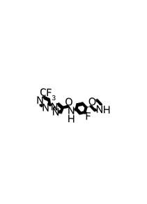 O=C(NC1=CC(F)C([C@H]2CNCCO2)C=C1)c1cnn(-c2cc(C(F)(F)F)ncn2)c1